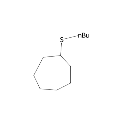 [CH2]CCCSC1CCCCCC1